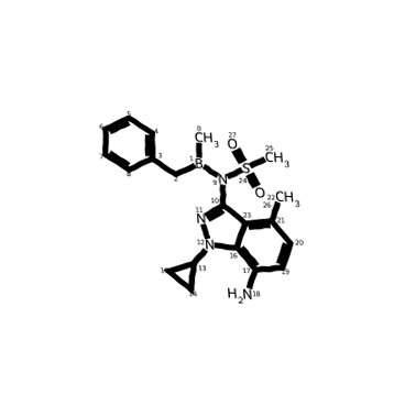 CB(Cc1ccccc1)N(c1nn(C2CC2)c2c(N)ccc(C)c12)S(C)(=O)=O